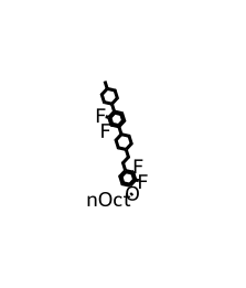 CCCCCCCCOc1ccc(CCC2CCC(c3ccc(C4CCC(C)CC4)c(F)c3F)CC2)c(F)c1F